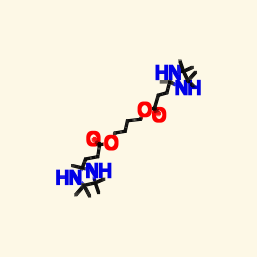 CC1(CCC(=O)OCCCCOC(=O)CCC2(C)NC(C)(C)C(C)(C)N2)NC(C)(C)C(C)(C)N1